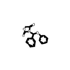 O=C1COC(=O)N1C(Oc1ccccc1)c1ccccc1